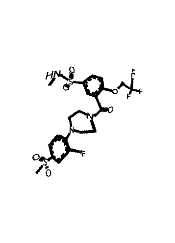 CNS(=O)(=O)c1ccc(OCC(F)(F)F)c(C(=O)N2CCN(c3ccc(S(C)(=O)=O)cc3F)CC2)c1